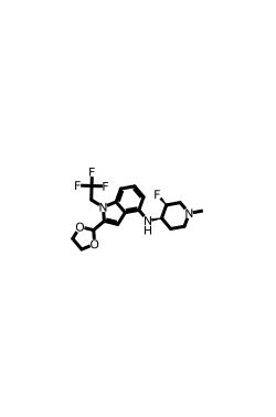 CN1CC[C@@H](Nc2cccc3c2cc(C2OCCO2)n3CC(F)(F)F)[C@@H](F)C1